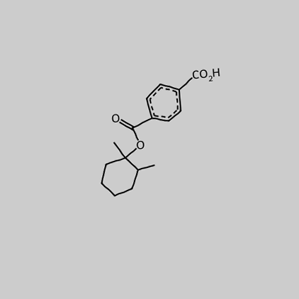 CC1CCCCC1(C)OC(=O)c1ccc(C(=O)O)cc1